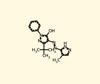 Cc1cn[nH]c1/N=N/c1c(C(C)(C)C)nn(-c2ccccc2)c1O